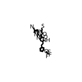 CSCCNC(=O)c1c2c(nn1-c1ccc(C#N)cn1)CC(CCc1cccc(OCC(F)(F)F)c1)NC2=O